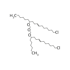 CCCCCCC(CCC=CCCCCCCCl)OCOCOC(CCC=CCCCCCCCl)CCCCCC